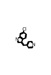 Clc1ccc2c(c1)N=C/C2=C/c1ccncc1